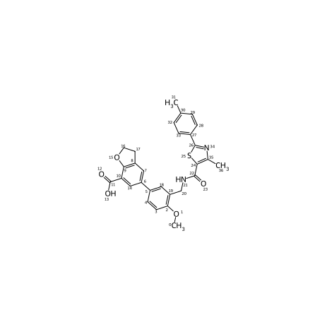 COc1ccc(-c2cc3c(c(C(=O)O)c2)OCC3)cc1CNC(=O)c1sc(-c2ccc(C)cc2)nc1C